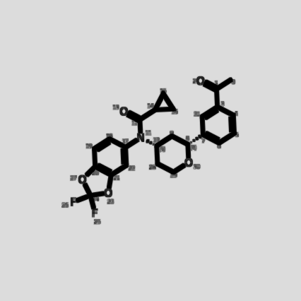 CC(=O)c1cccc([C@H]2C[C@@H](N(C(=O)C3CC3)c3ccc4c(c3)OC(F)(F)O4)CCO2)c1